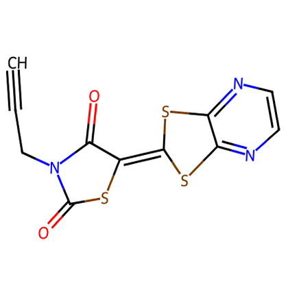 C#CCN1C(=O)SC(=C2Sc3nccnc3S2)C1=O